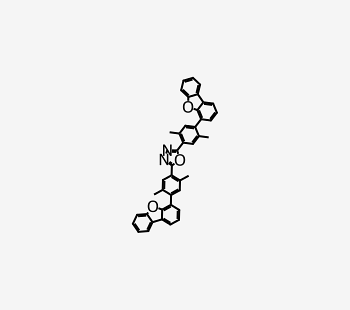 Cc1cc(-c2cccc3c2oc2ccccc23)c(C)cc1-c1nnc(-c2cc(C)c(-c3cccc4c3oc3ccccc34)cc2C)o1